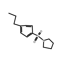 CCCc1ccc(S(=O)(=O)N2CCCC2)cc1